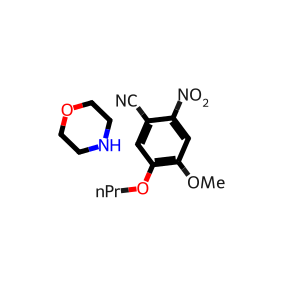 C1COCCN1.CCCOc1cc(C#N)c([N+](=O)[O-])cc1OC